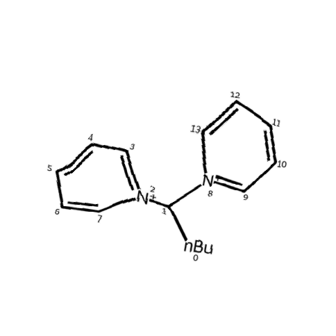 CCCCC([n+]1ccccc1)[n+]1ccccc1